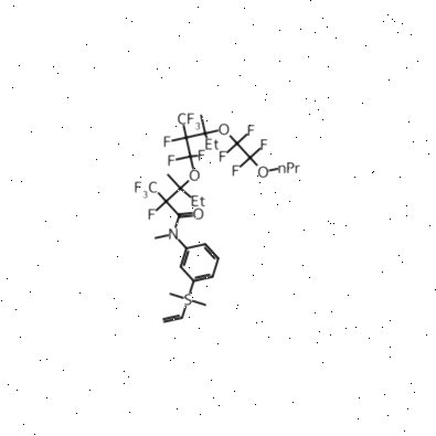 C=CS(C)(C)c1cccc(N(C)C(=O)C(F)(C(F)(F)F)C(C)(CC)OC(F)(F)C(F)(C(F)(F)F)C(C)(CC)OC(F)(F)C(F)(F)OCCC)c1